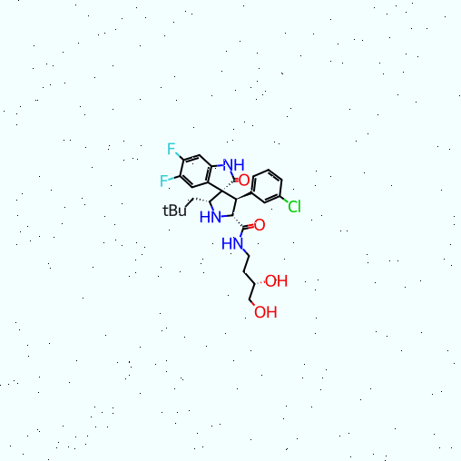 CC(C)(C)C[C@H]1N[C@@H](C(=O)NCC[C@H](O)CO)[C@H](c2cccc(Cl)c2)[C@@]12C(=O)Nc1cc(F)c(F)cc12